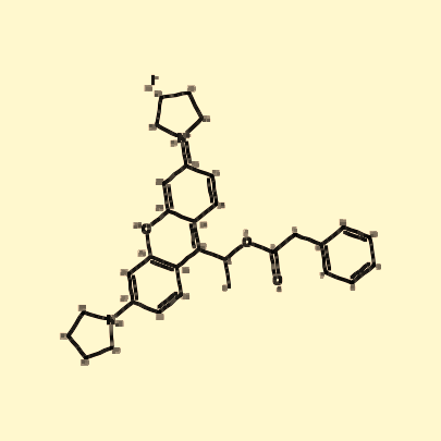 CC(OC(=O)Cc1ccccc1)c1c2ccc(=[N+]3CCCC3)cc-2oc2cc(N3CCCC3)ccc12.[I-]